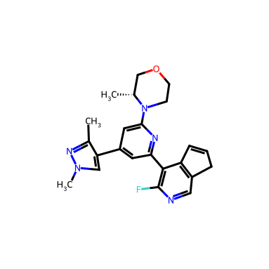 Cc1nn(C)cc1-c1cc(-c2c(F)ncc3c2C=CC3)nc(N2CCOC[C@H]2C)c1